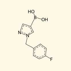 OB(O)c1cnn(Cc2ccc(F)cc2)c1